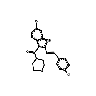 O=C(c1c(/C=C/c2ccc(Cl)cc2)[nH]c2cc(Br)ccc12)C1CCOCC1